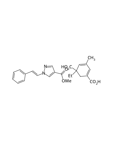 CCC1(C(=O)O)C=C(C)C=C(C(=O)O)C1.COC(=O)c1cnn(C=Cc2ccccc2)c1